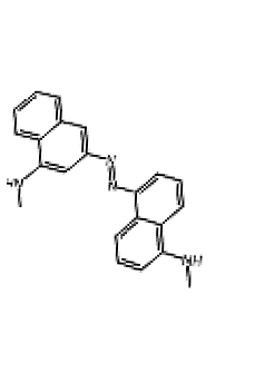 CNc1cc(N=Nc2cccc3c(NC)cccc23)cc2ccccc12